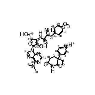 CCC1(c2ccncc2)CCC(=O)NC1=O.COc1ccc(C[C@H](N)C(=O)N[C@H]2[C@@H](O)[C@H](n3cnc4c(N(C)C)ncnc43)O[C@@H]2CO)cc1.[Cl-].[H+]